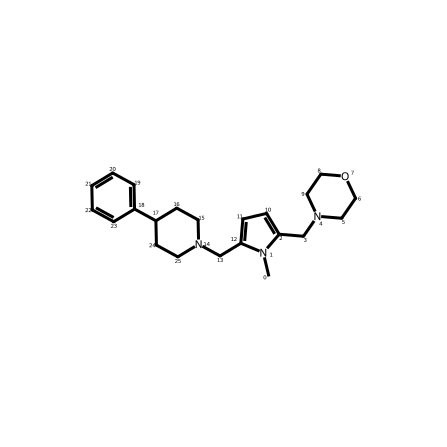 Cn1c(CN2CCOCC2)ccc1CN1CCC(c2ccccc2)CC1